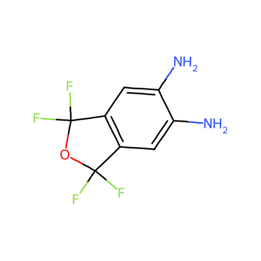 Nc1cc2c(cc1N)C(F)(F)OC2(F)F